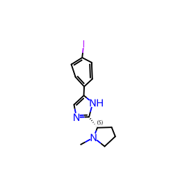 CN1CCC[C@H]1c1ncc(-c2ccc(I)cc2)[nH]1